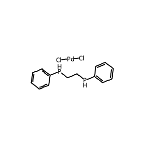 [Cl][Pd][Cl].c1ccc(PCCPc2ccccc2)cc1